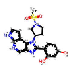 CCCS(=O)(=O)N1CCC(n2c(-c3ccc(O)cc3O)nc3cnc4[nH]ccc4c32)C1